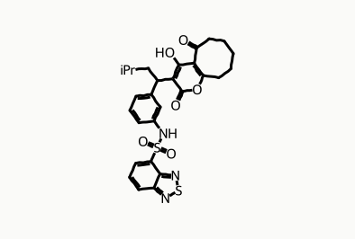 CC(C)CC(c1cccc(NS(=O)(=O)c2cccc3nsnc23)c1)c1c(O)c2c(oc1=O)CCCCCC2=O